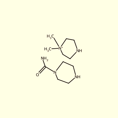 C[N+]1(C)CCNCC1.NC(=O)N1CCNCC1